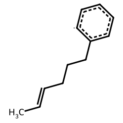 CC=CCCCc1[c]cccc1